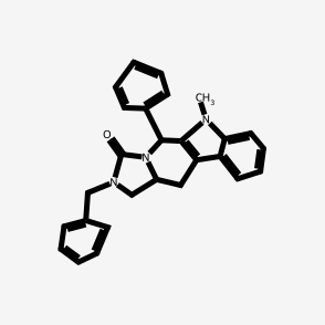 Cn1c2c(c3ccccc31)CC1CN(Cc3ccccc3)C(=O)N1C2c1ccccc1